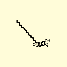 CCCCCCCC/C=C/CC/C=C/C=C/CC(=O)NC(C)Cc1ccc(O)c(OC)c1